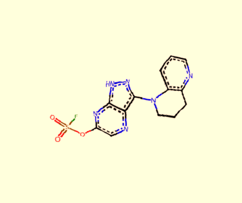 O=S(=O)(F)Oc1cnc2c(N3CCCc4ncccc43)n[nH]c2n1